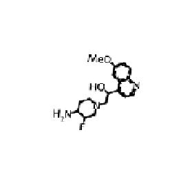 COc1ccc2nccc(C(O)CN3CCC(N)C(F)C3)c2c1